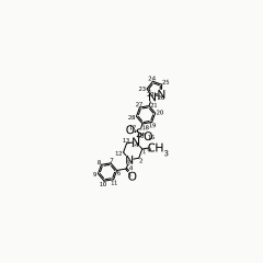 CC1CN(C(=O)c2ccccc2)CCN1S(=O)(=O)c1ccc(-n2cccn2)cc1